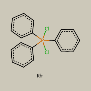 ClP(Cl)(c1ccccc1)(c1ccccc1)c1ccccc1.[Rh]